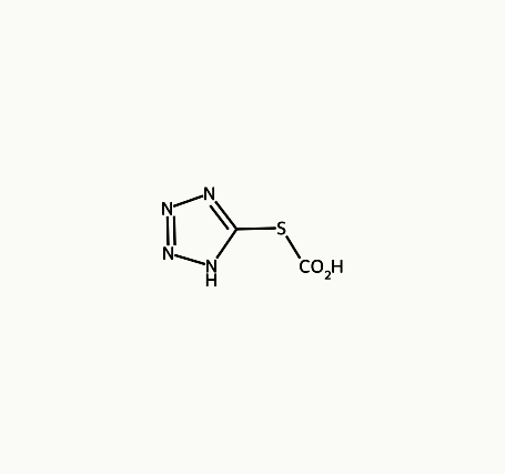 O=C(O)Sc1nnn[nH]1